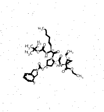 C=C[C@@H]1C[C@]1(NC(=O)[C@@H]1C[C@@H](OC(=O)N2Cc3cccc(F)c3C2)CN1C(=O)[C@H](CCCCCC)NC(=O)OC(C)(C)C)C(=O)OCC